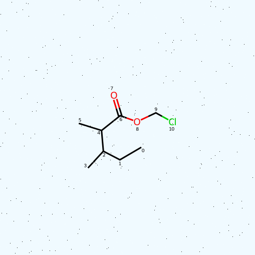 CCC(C)C(C)C(=O)OCCl